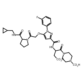 O=C(O)CC(NC(=O)c1cc(OCC(=O)N2CCCC2C(=O)NCC2CC2)n(-c2cccc(F)c2)n1)C(=O)N1CCN(C(=O)O)CC1